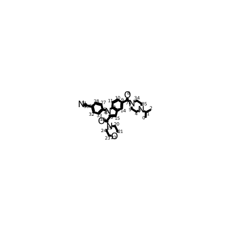 CC(C)N1CCN(C(=O)c2ccc3c(c2)cc(C(=O)N2CCOCC2)n3-c2ccc(C#N)cc2)CC1